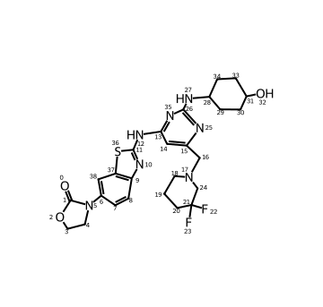 O=C1OCCN1c1ccc2nc(Nc3cc(CN4CCCC(F)(F)C4)nc(NC4CCC(O)CC4)n3)sc2c1